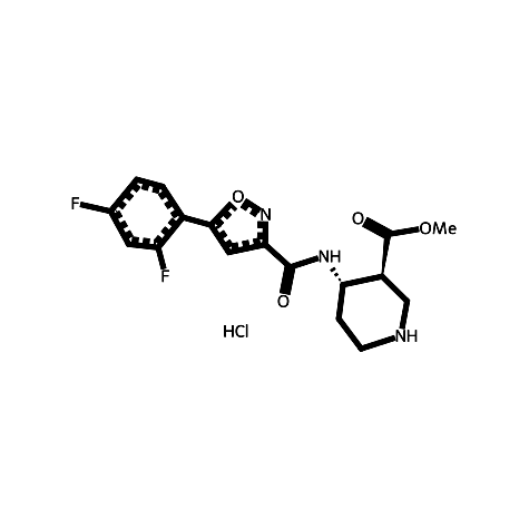 COC(=O)[C@H]1CNCC[C@@H]1NC(=O)c1cc(-c2ccc(F)cc2F)on1.Cl